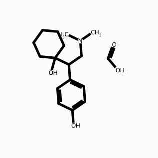 CN(C)CC(c1ccc(O)cc1)C1(O)CCCCC1.O=CO